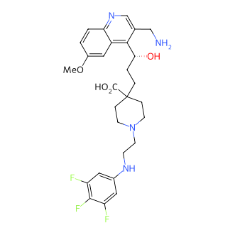 COc1ccc2ncc(CN)c([C@H](O)CCC3(C(=O)O)CCN(CCNc4cc(F)c(F)c(F)c4)CC3)c2c1